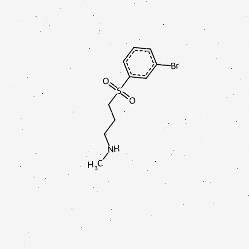 CNCCCS(=O)(=O)c1cccc(Br)c1